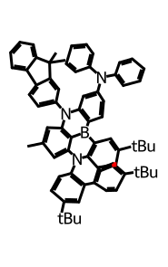 Cc1cc2c3c(c1)N(c1ccc(C(C)(C)C)cc1-c1ccc(C(C)(C)C)cc1)c1ccc(C(C)(C)C)cc1B3c1ccc(N(c3ccccc3)c3ccccc3)cc1N2c1ccc2c(c1)C(C)(C)c1ccccc1-2